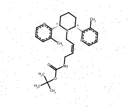 Cc1cccnc1[C@H]1CCC[C@@H](c2ncccc2C)N1C/C=C\CNC(=O)OC(C)(C)C